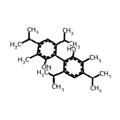 Cc1c(C(C)C)cc(C(C)C)c(-c2c(C(C)C)cc(C(C)C)c(C)c2O)c1O